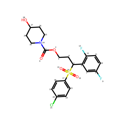 O=C(OCCC(c1cc(F)ccc1F)S(=O)(=O)c1ccc(Cl)cc1)N1CCC(O)CC1